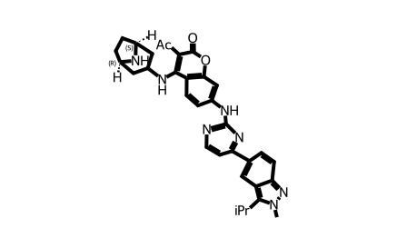 CC(=O)c1c(NC2C[C@H]3CC[C@@H](C2)N3)c2ccc(Nc3nccc(-c4ccc5nn(C)c(C(C)C)c5c4)n3)cc2oc1=O